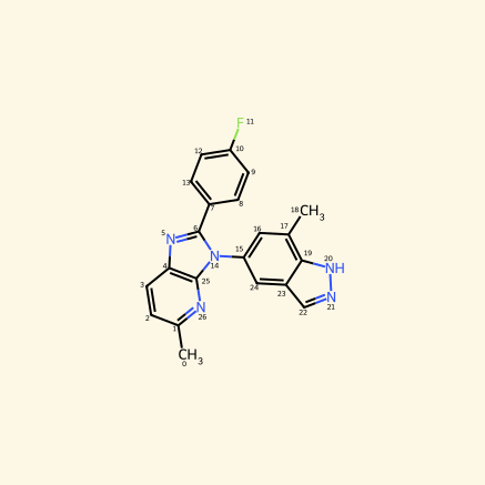 Cc1ccc2nc(-c3ccc(F)cc3)n(-c3cc(C)c4[nH]ncc4c3)c2n1